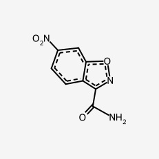 NC(=O)c1noc2cc([N+](=O)[O-])ccc12